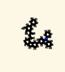 C=C(/C=C(\C)c1cccc2c1-c1cc(-c3ccc4c(c3)c3ccccc3n4-c3ccccc3)ccc1C2)c1cc(-c2ccccc2)cc(C)c1C